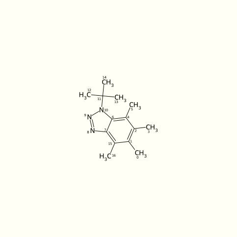 Cc1c(C)c(C)c2c(nnn2C(C)(C)C)c1C